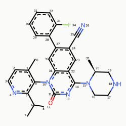 Cc1ccnc(C(C)C)c1-n1c(=O)nc(N2CCNC[C@@H]2C)c2cc(C#N)c(-c3ccccc3F)cc21